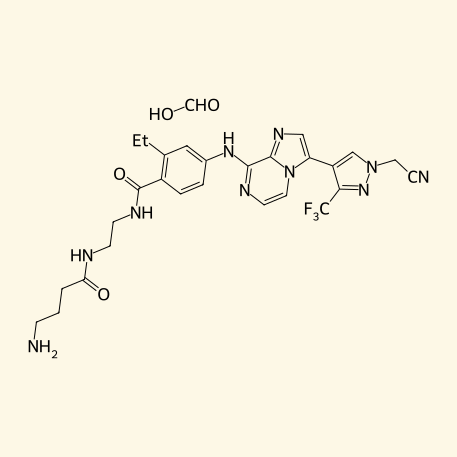 CCc1cc(Nc2nccn3c(-c4cn(CC#N)nc4C(F)(F)F)cnc23)ccc1C(=O)NCCNC(=O)CCCN.O=CO